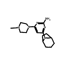 CN1CCN(c2cc(N3C4CCCC3CC4)nc(N)n2)CC1